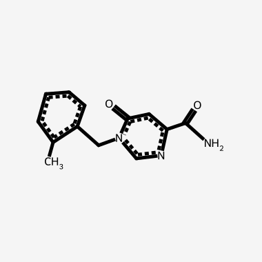 Cc1ccccc1Cn1cnc(C(N)=O)cc1=O